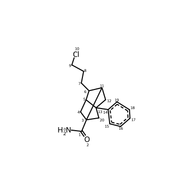 NC(=O)C12CC3C(CCCCl)C1CC3(c1ccccc1)C2